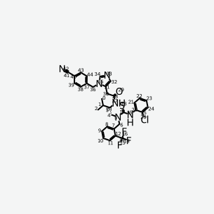 CC(C)[C@@H](CN(Cc1ccccc1C(F)(F)F)C(=S)Nc1ccccc1Cl)NC(=O)Cc1cncn1Cc1ccc(C#N)cc1